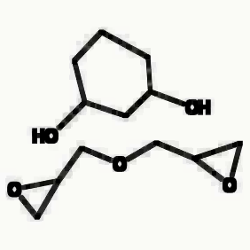 C(OCC1CO1)C1CO1.OC1CCCC(O)C1